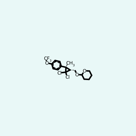 C[C@]1(c2ccc(OC(F)(F)F)cc2)[C@H](COC2CCCCO2)C1(Cl)Cl